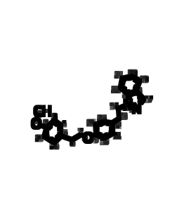 COc1ccc(CCOc2ccc(CCn3ncc4ccccc43)cc2)cc1